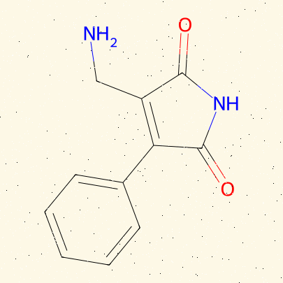 NCC1=C(c2ccccc2)C(=O)NC1=O